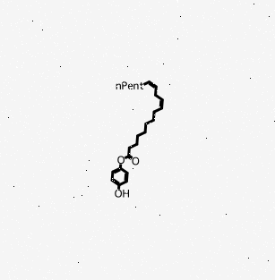 CCCCC/C=C\C/C=C\CCCCCCCC(=O)Oc1ccc(O)cc1